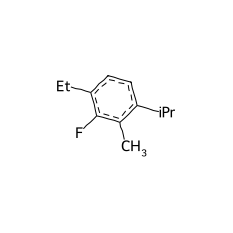 CCc1ccc(C(C)C)c(C)c1F